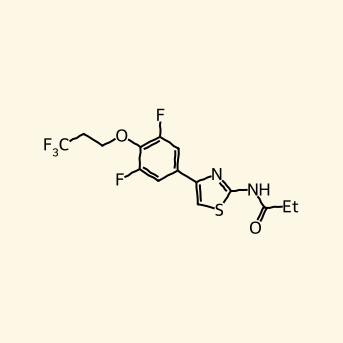 CCC(=O)Nc1nc(-c2cc(F)c(OCCC(F)(F)F)c(F)c2)cs1